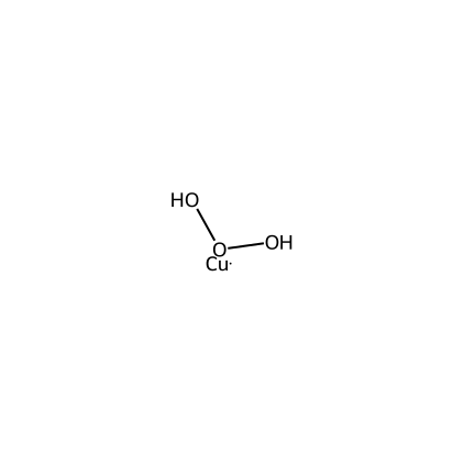 OOO.[Cu]